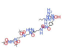 CCCCNc1nc(N)c2nc(O)n(Cc3ccc(C(=O)NCC(=O)NCCCC[C@H](N)C(=O)NCCCN(CCCCN(CCCNC(=O)OC(C)(C)C)C(=O)OC(C)(C)C)C(=O)OC(C)(C)C)cc3)c2n1